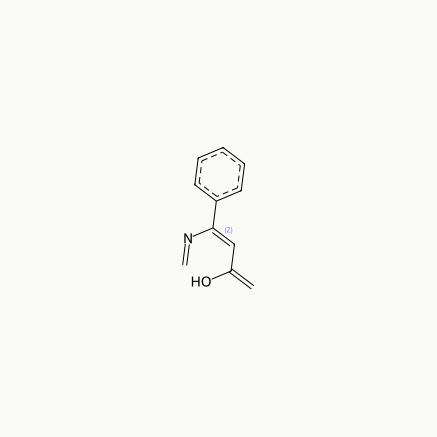 C=N/C(=C\C(=C)O)c1ccccc1